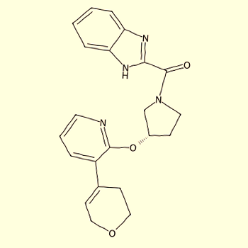 O=C(c1nc2ccccc2[nH]1)N1CC[C@H](Oc2ncccc2C2=CCOCC2)C1